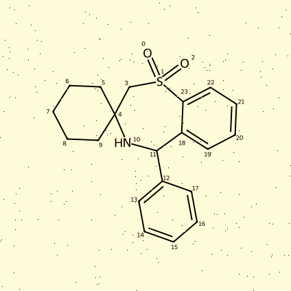 O=S1(=O)CC2(CCCCC2)NC(c2ccccc2)c2ccccc21